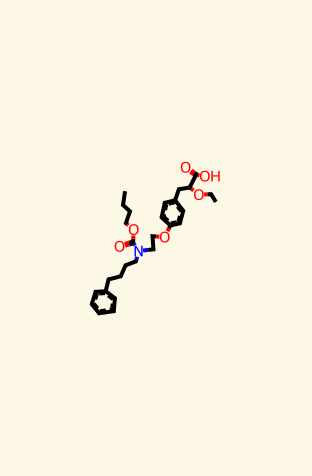 CCCCOC(=O)N(CCCCc1ccccc1)CCOc1ccc(CC(OCC)C(=O)O)cc1